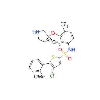 COc1ccccc1-c1sc(S(=O)(=O)Nc2ccc(C(F)(F)F)c(O[C@]3(C)CCNC3)c2)cc1Cl